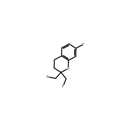 FCC1(CF)CCc2ccc(F)cc2O1